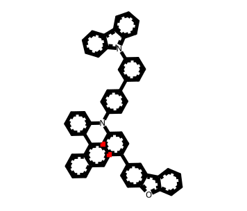 c1cc(-c2ccc(N(c3ccc(-c4ccc5oc6ccccc6c5c4)cc3)c3ccccc3-c3cccc4ccccc34)cc2)cc(-n2c3ccccc3c3ccccc32)c1